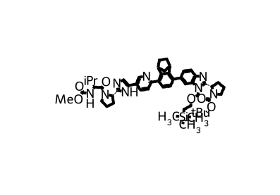 COC(=O)N[C@H](C(=O)N1CCC[C@H]1c1ncc(-c2ccc(-c3ccc(-c4ccc5nc([C@@H]6CCCN6C(=O)OC(C)(C)C)n(COCC[Si](C)(C)C)c5c4)c4c3C3CCC4C3)nc2)[nH]1)C(C)C